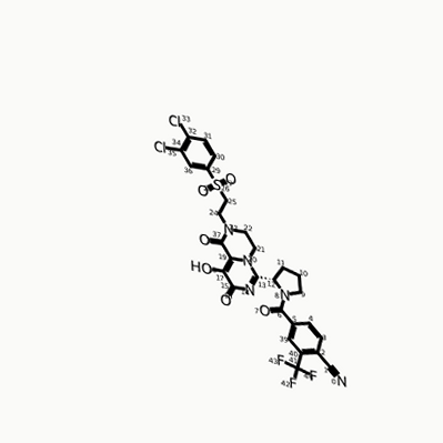 N#Cc1ccc(C(=O)N2CCC[C@H]2c2nc(=O)c(O)c3n2CCN(CCS(=O)(=O)c2ccc(Cl)c(Cl)c2)C3=O)cc1C(F)(F)F